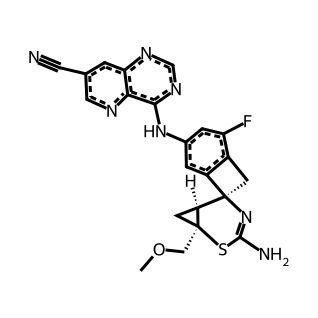 COC[C@]12C[C@H]1[C@]1(Cc3c(F)cc(Nc4ncnc5cc(C#N)cnc45)cc31)N=C(N)S2